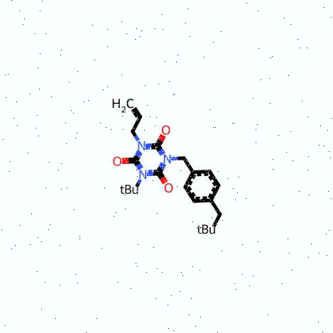 C=CCn1c(=O)n(Cc2ccc(CC(C)(C)C)cc2)c(=O)n(C(C)(C)C)c1=O